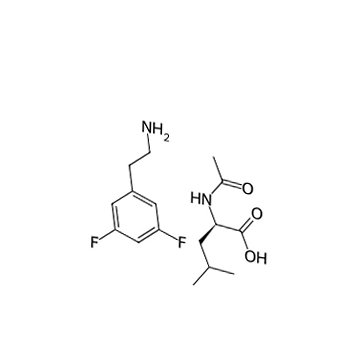 CC(=O)N[C@H](CC(C)C)C(=O)O.NCCc1cc(F)cc(F)c1